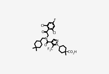 CC1(C)CCC(CN(CC(=O)c2c(Cl)cc(F)cc2Cl)C(=O)c2cnn([C@H]3CC[C@](C)(C(=O)O)CC3)c2C(F)(F)F)CC1